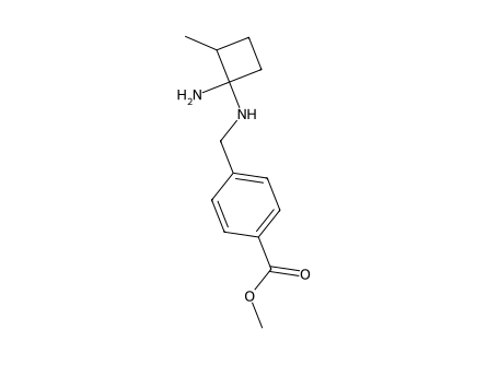 COC(=O)c1ccc(CNC2(N)CCC2C)cc1